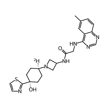 [2H][C@]1(N2CC(NC(=O)CNc3ncnc4ccc(C)cc34)C2)CC[C@@](O)(c2nccs2)CC1